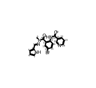 CN(N=Cc1ccc[nH]1)C(=O)c1cc(Br)ccc1NC(=O)c1cccnc1